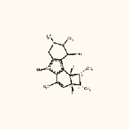 CC1=C[C@H]2[C@@H](C)[C@@H](C)[C@H]2c2c3c(n(C(C)(C)C)c21)CN(C)N(C)C3C(C)(C)C